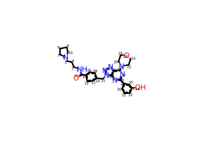 O=C(NCCCN1CCCC1)c1ccc(Cn2nnc3c(N4CCOCC4)nc(-c4cccc(O)c4)nc32)cc1